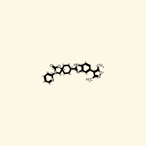 Cc1noc(C)c1-c1ccc2[nH]c(C3CCC4(CC3)CN(c3ccccn3)C(=O)O4)nc2c1